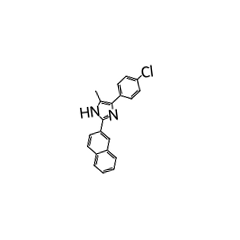 Cc1[nH]c(-c2ccc3ccccc3c2)nc1-c1ccc(Cl)cc1